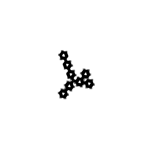 C1=CC(c2ccc(-c3ccc(N(c4ccc(-c5ccccc5)cc4)c4ccc(-c5ccccc5)c(-c5ccccc5)c4)cc3)cc2)=CCC1